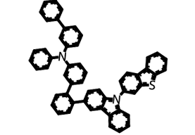 c1ccc(-c2cccc(N(c3ccccc3)c3cccc(-c4ccccc4-c4ccc5c(c4)c4ccccc4n5-c4ccc5c(c4)sc4ccccc45)c3)c2)cc1